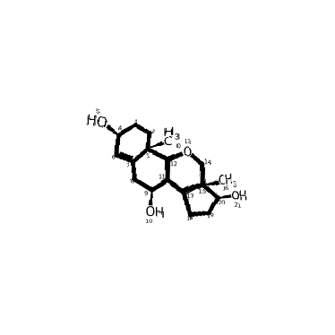 C[C@]12CC[C@H](O)C=C1C[C@H](O)C1C2OC[C@@]2(C)C1CC[C@@H]2O